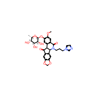 COc1cc2c(cc1O[C@@H]1O[C@@H](C)[C@@H](O)[C@@H](O)[C@@H]1O)C1C(=O)c3cc4c(cc3C1N(CCCn1ccnc1)C2=O)OCO4